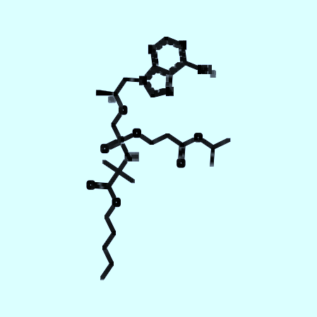 CCCCCOC(=O)C(C)(C)NP(=O)(CO[C@@H](C)Cn1cnc2c(N)ncnc21)OCCC(=O)OC(C)C